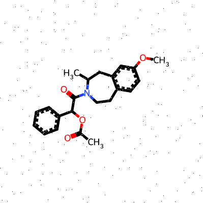 COc1ccc2c(c1)CC(C)N(C(=O)C(OC(C)=O)c1ccccc1)CC2